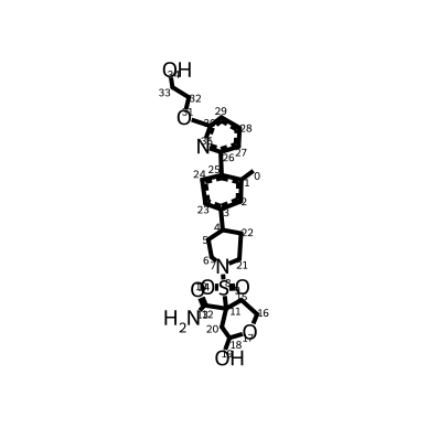 Cc1cc(C2CCN(S(=O)(=O)C3(C(N)=O)CCOC(O)C3)CC2)ccc1-c1cccc(OCCO)n1